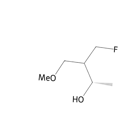 COCC(CF)[C@H](C)O